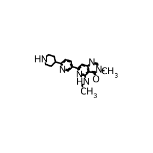 CCNc1nc(-c2ccc(C3CCNCC3)nc2)cc2ncn(C)c(=O)c12